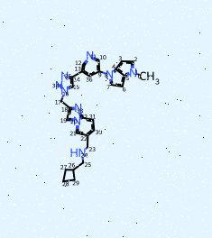 Cn1ccc2c1ccn2-c1cncc(-c2cn(Cc3cn4cc(CNCC5CCC5)ccc4n3)nn2)c1